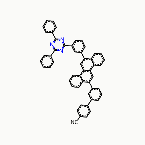 N#Cc1ccc(-c2cccc(-c3cc4c5ccccc5c(-c5cccc(-c6nc(-c7ccccc7)nc(-c7ccccc7)n6)c5)cc4c4ccccc34)c2)cc1